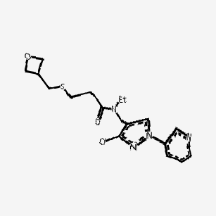 CCN(C(=O)CCSCC1COC1)c1cn(-c2cccnc2)nc1Cl